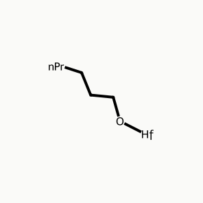 CCCCCC[O][Hf]